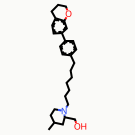 CC1CCN(CCCCCCCc2ccc(-c3ccc4c(c3)OCCC4)cc2)C(CO)C1